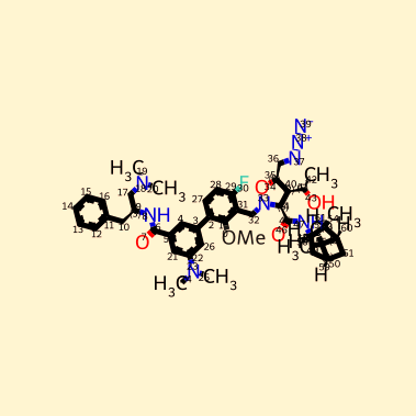 COc1c(-c2cc(C(=O)N[C@@H](Cc3ccccc3)CN(C)C)cc(N(C)C)c2)ccc(F)c1CN1O[C@@H](CN=[N+]=[N-])[C@@H]([C@H](C)O)[C@H]1C(=O)N[C@H]1C[C@H]2C[C@@H]([C@@H]1C)C2(C)C